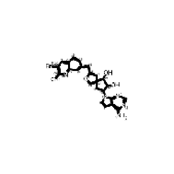 Nc1ncnc2c1ccn2C1CC2(COC(Cc3ccc4cc(Br)c(Cl)nc4c3)C2)C(O)C1O